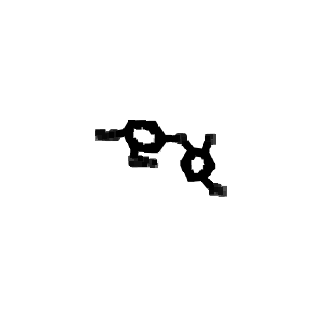 COc1ccc(Oc2ccc(C(C)(C)C)cc2Cl)cc1OC